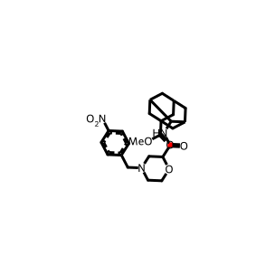 COC(=O)C12CC3CC(C1)C(NC(=O)C1CN(Cc4ccc([N+](=O)[O-])cc4)CCO1)C(C3)C2